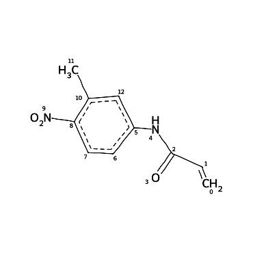 C=CC(=O)Nc1ccc([N+](=O)[O-])c(C)c1